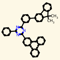 CC1(C)c2ccccc2-c2cc(-c3cccc(-c4nc(-c5ccccc5)nc(-c5ccc6c7ccccc7c7ccccc7c6c5)n4)c3)ccc21